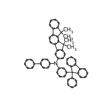 CC1(C)c2ccccc2-c2ccc3c(c21)C(C)(C)c1ccc(N(c2ccc(-c4ccccc4)cc2)c2cccc(C4(c5ccccc5)c5ccccc5-c5ccccc54)c2)cc1-3